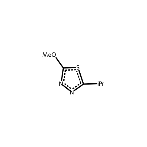 COc1nnc(C(C)C)s1